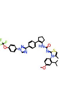 COc1ccc(-n2c(C)cs/c2=N\C(=O)NC2=C(c3ccc(-c4ncn(-c5ccc(OC(F)(F)F)cc5)n4)cc3)CCC2)c(C(C)C)c1